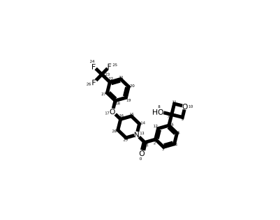 O=C(c1cccc(C2(O)COC2)c1)N1CCC(Oc2cccc(C(F)(F)F)c2)CC1